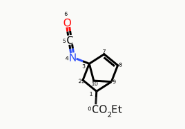 CCOC(=O)C1[CH]C2(N=C=O)C=CC1C2